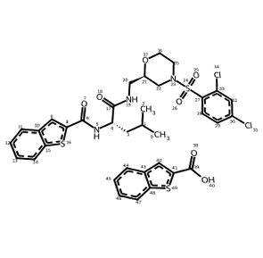 CC(C)C[C@H](NC(=O)c1cc2ccccc2s1)C(=O)NC[C@@H]1CN(S(=O)(=O)c2ccc(Cl)cc2Cl)CCO1.O=C(O)c1cc2ccccc2s1